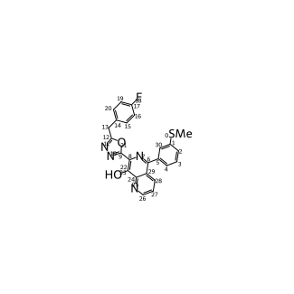 CSc1cccc(-c2nc(-c3nnc(Cc4ccc(F)cc4)o3)c(O)c3ncccc23)c1